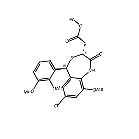 COc1cc(Cl)cc2c1NC(=O)[C@@H](CC(=O)OC(C)C)S[C@@H]2c1cccc(OC)c1OC